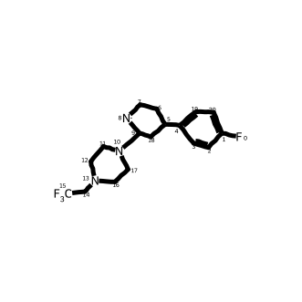 Fc1ccc(C2CC[N]C(N3CCN(CC(F)(F)F)CC3)C2)cc1